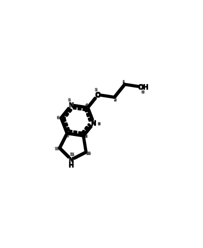 OCCOc1ncc2c(n1)CNC2